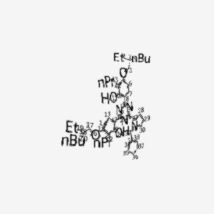 CCCCC(CC)COc1ccc(-c2nc(-c3ccc(OCC(CC)CCCC)c(CCC)c3O)nc(-c3cccn3Cc3ccccc3)n2)c(O)c1CCC